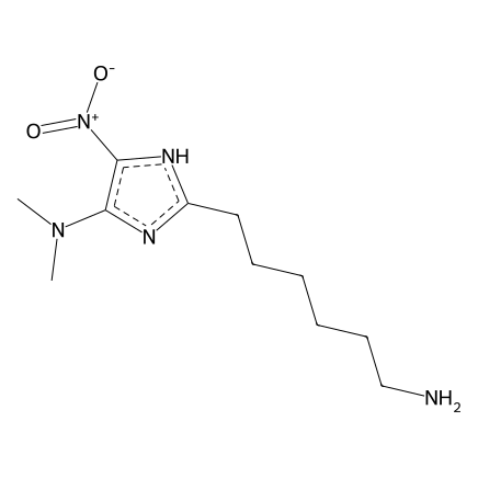 CN(C)c1nc(CCCCCCN)[nH]c1[N+](=O)[O-]